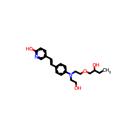 CCC(O)COCCN(CCO)c1ccc(/C=C/c2ccc(O)nc2)cc1